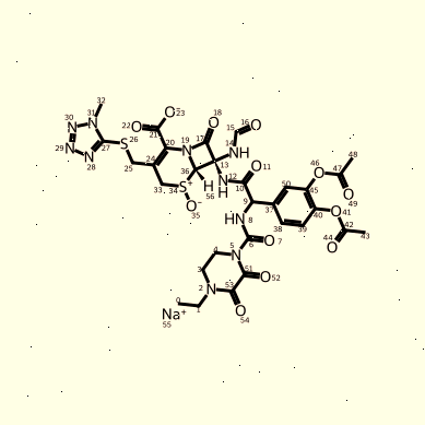 CCN1CCN(C(=O)NC(C(=O)N[C@]2(NC=O)C(=O)N3C(C(=O)[O-])=C(CSc4nnnn4C)C[S+]([O-])[C@H]32)c2ccc(OC(C)=O)c(OC(C)=O)c2)C(=O)C1=O.[Na+]